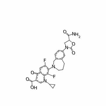 NC(=O)C1CN(c2ccc3c(c2)CCCN(c2c(F)cc4c(=O)c(C(=O)O)cn(C5CC5)c4c2F)C3)C(=O)O1